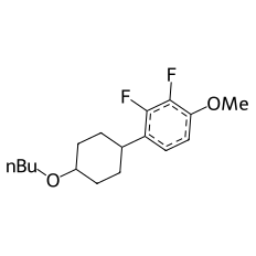 CCCCOC1CCC(c2ccc(OC)c(F)c2F)CC1